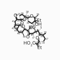 CC[C@@H](C(=O)[C@@H](C)[C@@H](O)[C@H](C)[C@@H]1O[C@@H]([C@@H](CC)C(=O)O)CCC1C)[C@H]1O[C@@]2(O[C@@]3(CC[C@@](C)([C@H]4CC[C@](O)(CC)[C@H](C)O4)O3)C(=O)CC2C)[C@H](C)C[C@@H]1C